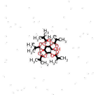 C=C(C)C(=O)OCC(OC(=O)C(=C)C)C(OC(=O)C(=C)C)C(OC(=O)C(=C)C)C(CO)OC(=O)C(=C)C